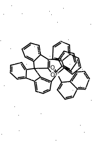 O=P(c1cccc2c1C1(c3ccccc3-2)c2ccccc2-c2c1oc1ccccc21)(c1cccc2ccccc12)c1cccc2ccccc12